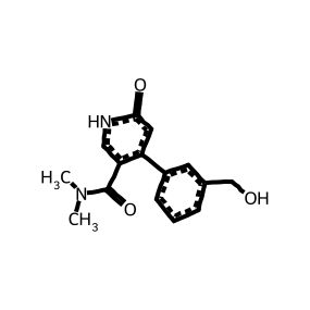 CN(C)C(=O)c1c[nH]c(=O)cc1-c1cccc(CO)c1